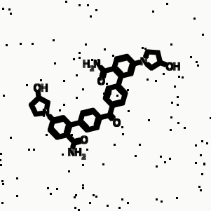 NC(=O)c1ccc(N2CCC(O)C2)cc1-c1ccc(C(=O)c2ccc(-c3cc(N4CCC(O)C4)ccc3C(N)=O)cc2)cc1